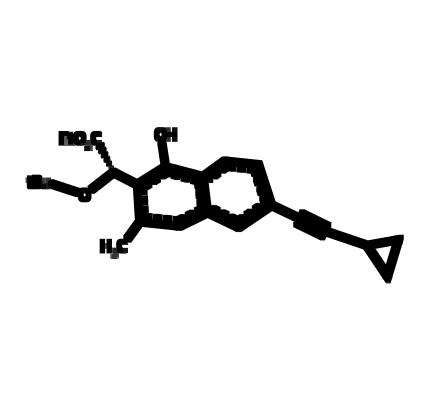 CCOC(=O)[C@@H](OC(C)(C)C)c1c(C)cc2cc(C#CC3CC3)ccc2c1O